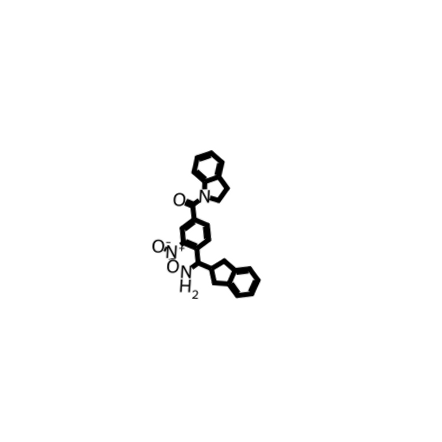 NC(c1ccc(C(=O)N2CCc3ccccc32)cc1[N+](=O)[O-])C1Cc2ccccc2C1